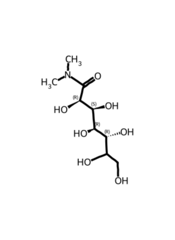 CN(C)C(=O)[C@H](O)[C@@H](O)[C@H](O)[C@H](O)C(O)CO